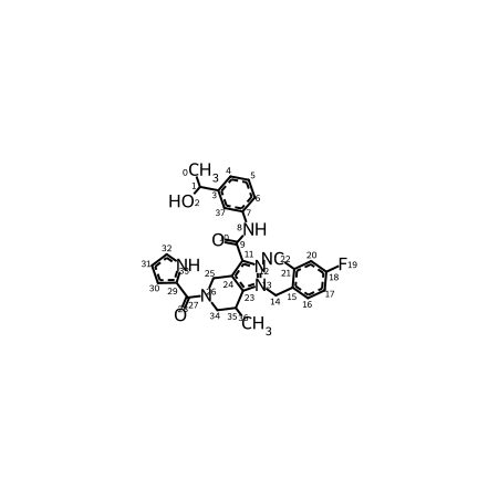 CC(O)c1cccc(NC(=O)c2nn(Cc3ccc(F)cc3C#N)c3c2CN(C(=O)c2ccc[nH]2)CC3C)c1